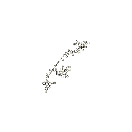 C[C@]1(C(=O)O)C[C@H](O)[C@@H](NC(=O)CNC(=O)CN(CCOCCOCCCC(=O)CCSC2CC(=O)N(CN3C(=O)CC(SCCC(=O)NCC(=O)N[C@@H]4[C@@H](O)C[C@](C)(C(=O)O)O[C@H]4C(O)[C@H](O)CO)C3=O)C2=O)C(=O)COCC(=O)N2CCN(C(=O)c3ccccc3-c3c4ccc(=O)cc-4oc4cc(O)ccc34)CC2)[C@H]([C@H](O)[C@H](O)CO)O1